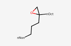 CCCCCCCCCCCCC1(CCCCCCCC)CO1